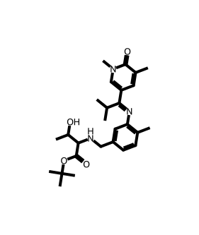 Cc1ccc(CNC(C(=O)OC(C)(C)C)C(C)O)cc1/N=C(/c1cc(C)c(=O)n(C)c1)C(C)C